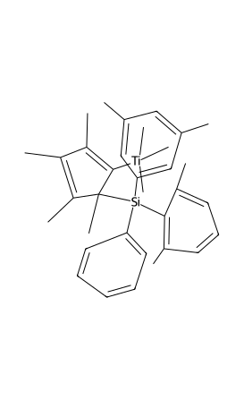 CC1=C(C)C(C)([Si](c2ccccc2)(c2cc(C)cc(C)c2)c2c(C)cccc2C)[C]([Ti]([CH3])([CH3])[CH3])=C1C